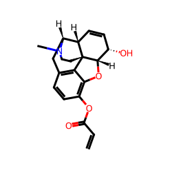 C=CC(=O)Oc1ccc2c3c1O[C@H]1[C@@H](O)C=C[C@H]4[C@@H](C2)N(C)CC[C@@]341